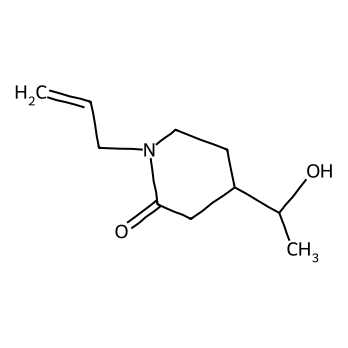 C=CCN1CCC(C(C)O)CC1=O